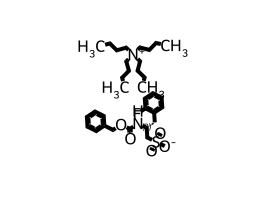 CCCC[N+](CCCC)(CCCC)CCCC.O=C(N[C@H](Cc1ccccc1F)CS(=O)(=O)[O-])OCc1ccccc1